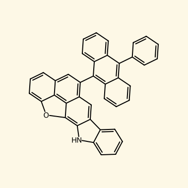 c1ccc(-c2c3ccccc3c(-c3cc4cccc5oc6c7[nH]c8ccccc8c7cc3c6c45)c3ccccc23)cc1